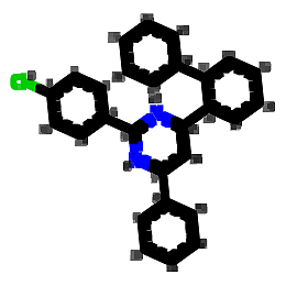 Clc1ccc(-c2nc(-c3ccccc3)cc(-c3ccccc3-c3ccccc3)n2)cc1